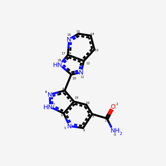 NC(=O)c1cnc2[nH]nc(-c3nc4cccnc4[nH]3)c2c1